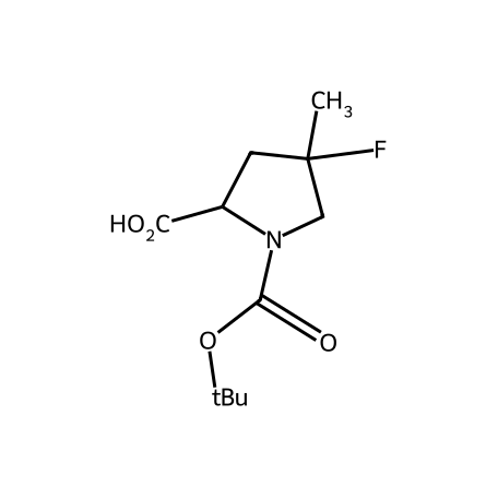 CC1(F)CC(C(=O)O)N(C(=O)OC(C)(C)C)C1